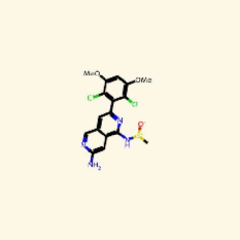 COc1cc(OC)c(Cl)c(-c2cc3cnc(N)cc3c(N[S+](C)[O-])n2)c1Cl